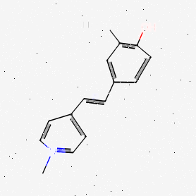 C[n+]1ccc(/C=C/c2ccc(O)c(C(=O)O)c2)cc1